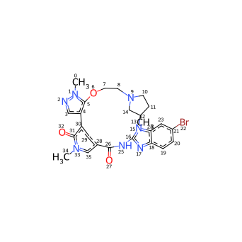 Cn1ncc2c1OCCN1CCC(C)(C1)n1c(nc3ccc(Br)cc31)NC(=O)c1cc-2c(=O)n(C)c1